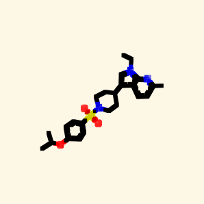 CCn1cc(C2CCN(S(=O)(=O)c3ccc(OC(C)C)cc3)CC2)c2ccc(C)nc21